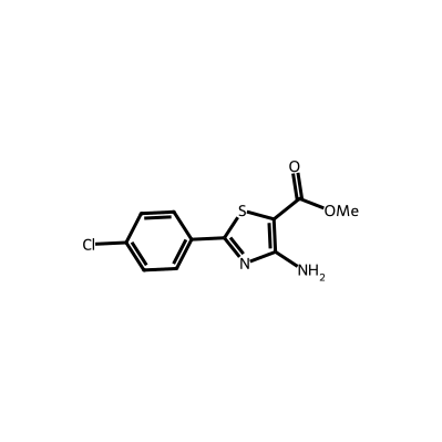 COC(=O)c1sc(-c2ccc(Cl)cc2)nc1N